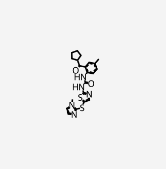 Cc1ccc(NC(=O)Nc2ncc(Sc3nccn3C)s2)c(C(=O)C2CCCC2)c1